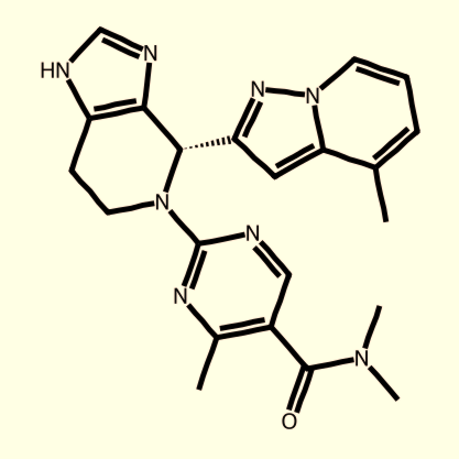 Cc1nc(N2CCc3[nH]cnc3[C@@H]2c2cc3c(C)cccn3n2)ncc1C(=O)N(C)C